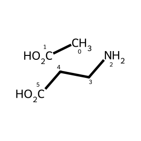 CC(=O)O.NCCC(=O)O